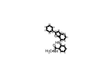 CNC(=O)c1ccccc1Nc1ccnc2cc(-c3ccccc3)oc12